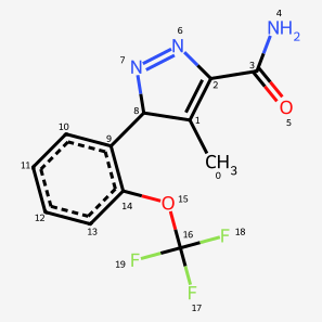 CC1=C(C(N)=O)N=NC1c1ccccc1OC(F)(F)F